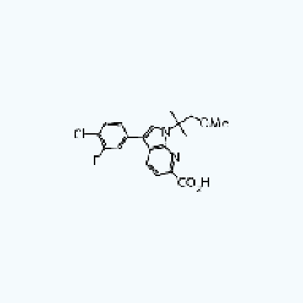 COCC(C)(C)n1cc(-c2ccc(Cl)c(F)c2)c2ccc(C(=O)O)nc21